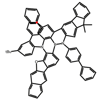 CC(C)(C)c1ccc(N2c3cc(-c4ccccc4)cc4c3B(c3ccc5c(oc6cc7ccccc7cc65)c32)N(c2ccc(-c3ccccc3)cc2)c2cc3c(cc2-4)-c2ccccc2C3(C)C)c(-c2ccccc2)c1